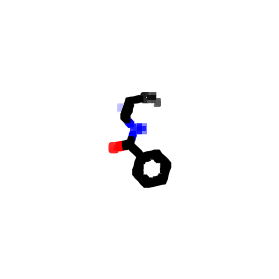 C/C=C\NC(=O)c1ccccc1